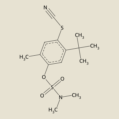 Cc1cc(SC#N)c(C(C)(C)C)cc1OS(=O)(=O)N(C)C